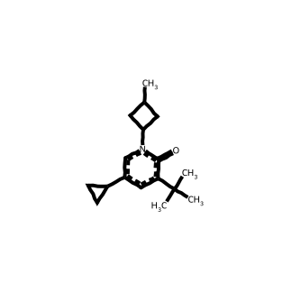 CC1CC(n2cc(C3CC3)cc(C(C)(C)C)c2=O)C1